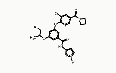 CC(CO)Oc1cc(Oc2ncc(C(=O)N3CCC3)cc2Cl)cc(C(=O)Nc2ccn(C(C)C)n2)c1